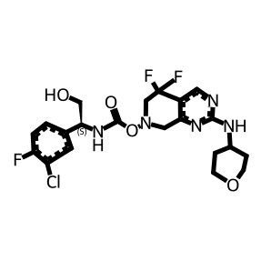 O=C(N[C@H](CO)c1ccc(F)c(Cl)c1)ON1Cc2nc(NC3CCOCC3)ncc2C(F)(F)C1